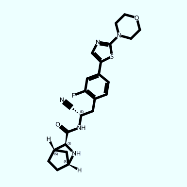 N#C[C@H](Cc1ccc(-c2cnc(N3CCOCC3)s2)cc1F)NC(=O)[C@H]1N[C@@H]2CC[C@H]1C2